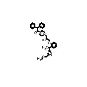 C=C(c1nnc(COC)s1)c1ccccc1OCC(O)CN1CCN(C(=O)C(c2ccccc2)c2ccccc2)CC1